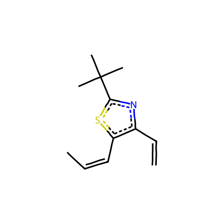 C=Cc1nc(C(C)(C)C)sc1/C=C\C